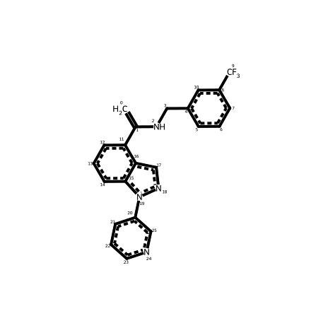 C=C(NCc1cccc(C(F)(F)F)c1)c1cccc2c1cnn2-c1cccnc1